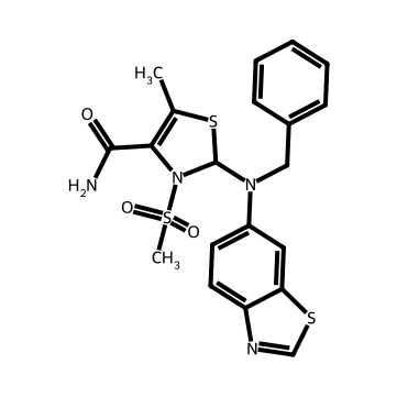 CC1=C(C(N)=O)N(S(C)(=O)=O)C(N(Cc2ccccc2)c2ccc3ncsc3c2)S1